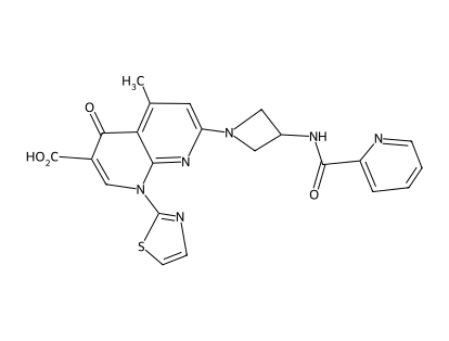 Cc1cc(N2CC(NC(=O)c3ccccn3)C2)nc2c1c(=O)c(C(=O)O)cn2-c1nccs1